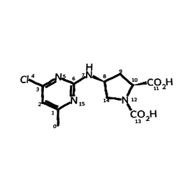 Cc1cc(Cl)nc(N[C@H]2C[C@@H](C(=O)O)N(C(=O)O)C2)n1